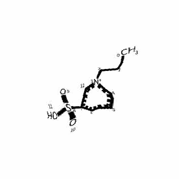 CCC[n+]1cccc(S(=O)(=O)O)c1